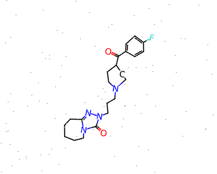 O=C(c1ccc(F)cc1)C1CCN(CCCn2nc3n(c2=O)CCCCC3)CC1